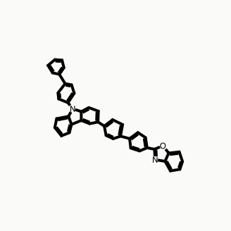 c1ccc(-c2ccc(-n3c4ccccc4c4cc(-c5ccc(-c6ccc(-c7nc8ccccc8o7)cc6)cc5)ccc43)cc2)cc1